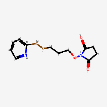 O=C1CCC(=O)N1OCCCSSc1ccccn1